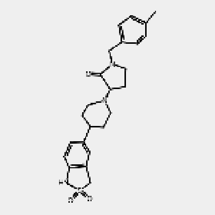 Cc1ccc(CN2CC[C@@H](N3CCC(c4ccc5c(c4)CS(=O)(=O)N5)CC3)C2=O)cc1